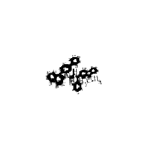 CC1(C)c2ccccc2-c2ccc(C3NC(n4c5cc(-c6ccccc6)ccc5c5c6ccccc6ccc54)=Nc4ccccc43)cc21